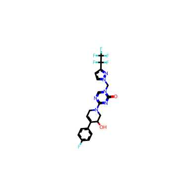 O=c1nc(N2CC=C(c3ccc(F)cc3)C(O)C2)ncn1Cn1ccc(C(F)(F)C(F)(F)F)n1